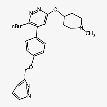 CCCCc1nnc(OC2CCN(C)CC2)cc1-c1ccc(OCc2cccnn2)cc1